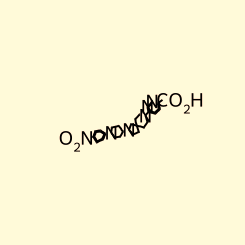 O=C(O)c1ccc(N2CCC3(CC2)CCN(C2CCN(c4ccc([N+](=O)[O-])cc4)CC2)C3)nn1